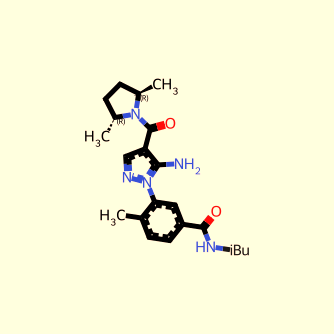 CCC(C)NC(=O)c1ccc(C)c(-n2ncc(C(=O)N3[C@H](C)CC[C@H]3C)c2N)c1